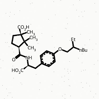 CCCCC(CC)COc1ccc(C[C@H](NC(=O)[C@H]2CC[C@@](C)(C(=O)O)C2(C)C)C(=O)O)cc1